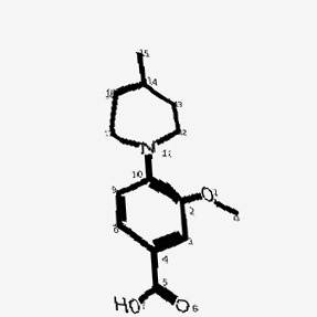 COc1cc(C(=O)O)ccc1N1CCC(C)CC1